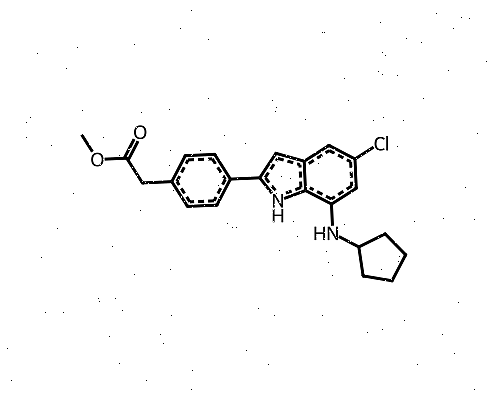 COC(=O)Cc1ccc(-c2cc3cc(Cl)cc(NC4CCCC4)c3[nH]2)cc1